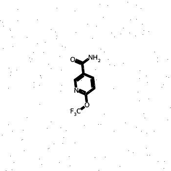 NC(=O)c1ccc(OC(F)(F)F)nc1